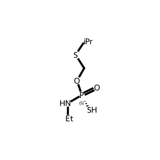 CCN[P@@](=O)(S)OCSC(C)C